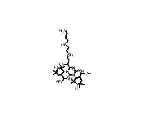 CCCC(Nc1nc(NC(CCC)C2CC(C)(C)NC(C)(C)C2)nc(C(N)CCNCCNCCCN)n1)C1CC(C)(C)NC(C)(C)C1